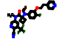 CN(C(=O)C1(N(C=S)c2ccc(F)c(OCCc3ccncc3)c2)CCC1)c1cnc(C#N)c(C(F)(F)F)c1